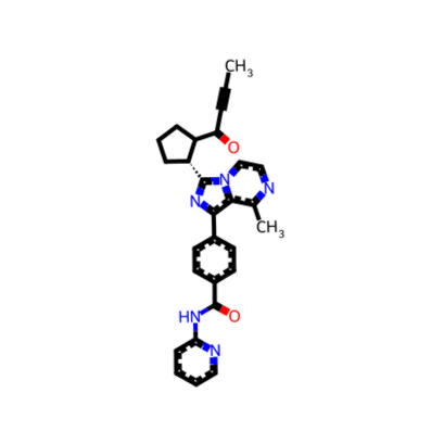 CC#CC(=O)C1CCC[C@H]1c1nc(-c2ccc(C(=O)Nc3ccccn3)cc2)c2c(C)nccn12